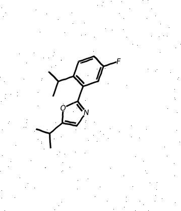 CC(C)c1cnc(-c2cc(F)ccc2C(C)C)o1